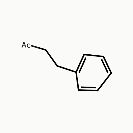 CC(=O)C[CH]c1ccccc1